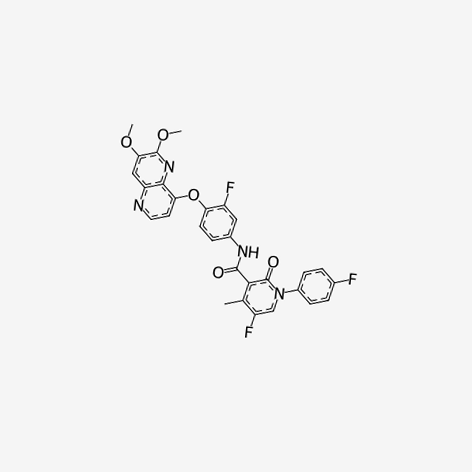 COc1cc2nccc(Oc3ccc(NC(=O)c4c(C)c(F)cn(-c5ccc(F)cc5)c4=O)cc3F)c2nc1OC